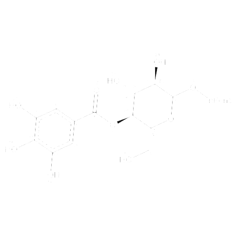 CCCCCOC1O[C@H](CO)[C@@H](OC(=O)c2cc(O)c(O)c(O)c2)[C@H](O)[C@H]1O